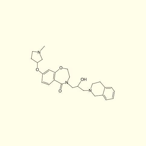 CN1CCC(Oc2ccc3c(c2)OCCN(CC(O)CN2CCc4ccccc4C2)C3=O)C1